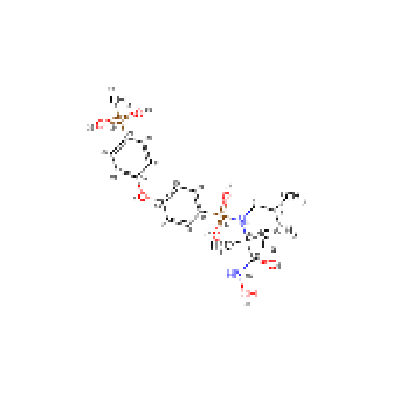 CC(C)CN(C(C)(C)C(=O)NO)S(=O)(=O)c1ccc(Oc2ccc(S(C)(=O)=O)cc2)cc1